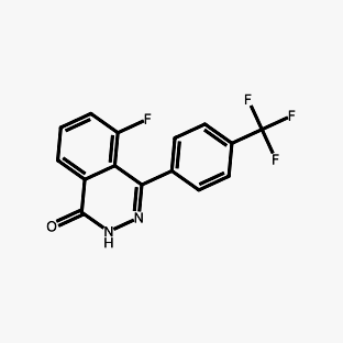 O=c1[nH]nc(-c2ccc(C(F)(F)F)cc2)c2c(F)cccc12